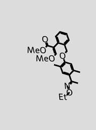 CCO/N=C(\C)c1cc(C)c(OCc2ccccc2/C(=C/OC)C(=O)OC)cc1C